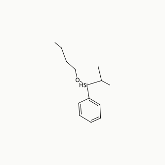 CCCCO[SiH](c1ccccc1)C(C)C